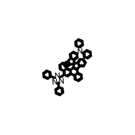 c1ccc(-c2nc(-c3ccccc3)nc(-c3cc4c5ccccc5c5c(c4c4ccccc34)C3(c4ccccc4-c4ccc(N(c6ccccc6)c6ccccc6)cc43)c3ccccc3-5)n2)cc1